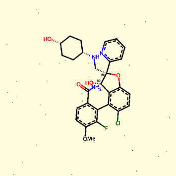 COc1ccc(C(N)=O)c(-c2c(Cl)ccc3c2[C@H](O)[C@@](CN[C@H]2CC[C@@H](O)CC2)(c2ccccn2)O3)c1F